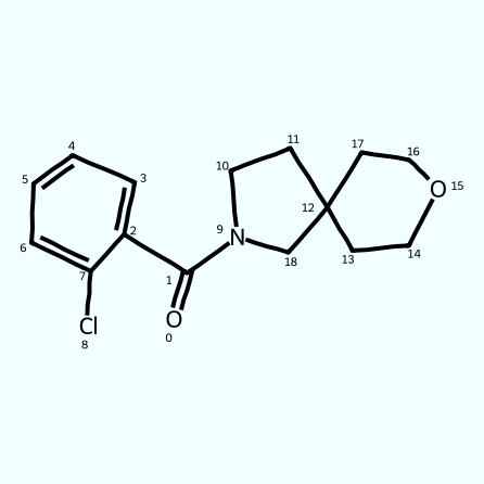 O=C(c1ccccc1Cl)N1CCC2(CCOCC2)C1